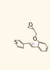 C(=C\c1ccccc1OCC1CO1)/c1ccsc1